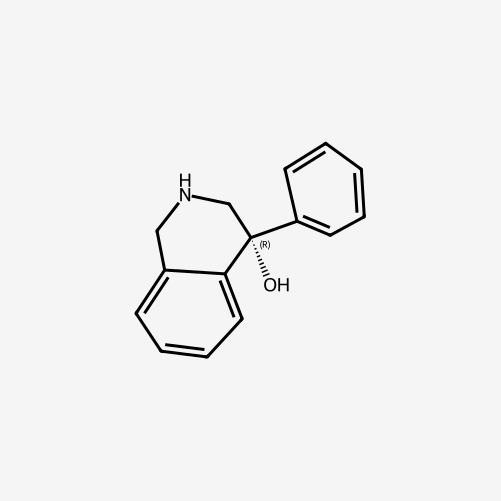 O[C@@]1(c2ccccc2)CNCc2ccccc21